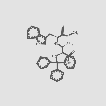 COC(=O)[C@H](Cc1c[nH]c2ccccc12)N[C@H](C)[C@H](NC(c1ccccc1)(c1ccccc1)c1ccccc1)C(=O)O